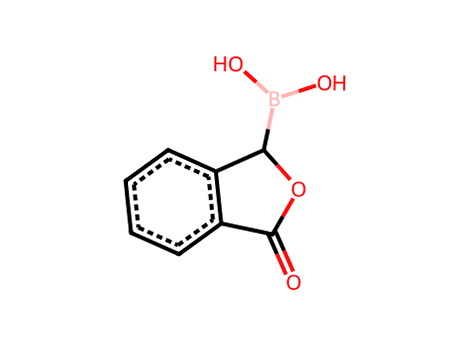 O=C1OC(B(O)O)c2ccccc21